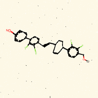 CCOCc1ccc(C2CCC(/C=C/c3ccc(-c4ccc(O)cc4)c(F)c3F)CC2)c(F)c1F